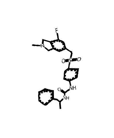 CC(NC(=O)Nc1ccc(S(=O)(=O)Cc2cc(F)c3c(c2)CN(C)C3)cc1)c1ccccc1